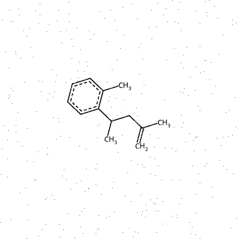 C=C(C)CC(C)c1ccccc1C